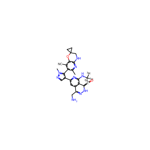 [2H]C([2H])([2H])Nc1nc(-c2cnn(C)c2-c2c(C)nc3c(c2C#N)OC2(CC2)CN3)cc2c1C(=C=O)NN=C2CN